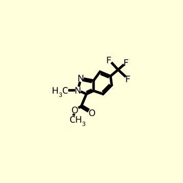 COC(=O)c1c2ccc(C(F)(F)F)cc2nn1C